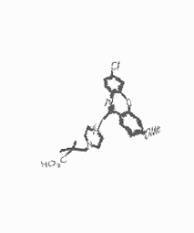 COc1ccc2c(c1)Oc1cc(Cl)ccc1N=C2N1CCN(CC(C)(C)C(=O)O)CC1